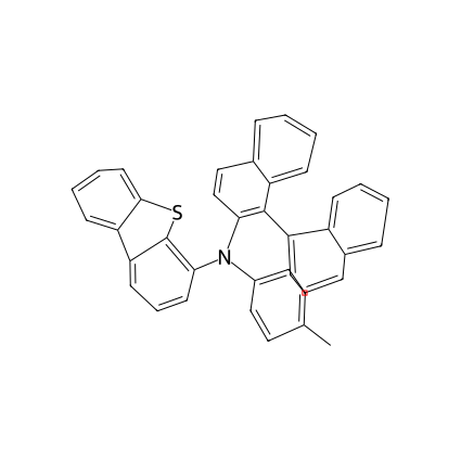 Cc1ccc(N(c2ccc3ccccc3c2-c2cccc3ccccc23)c2cccc3c2sc2ccccc23)cc1